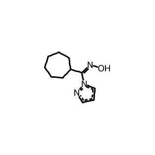 ON=C(C1CCCCCC1)n1cccn1